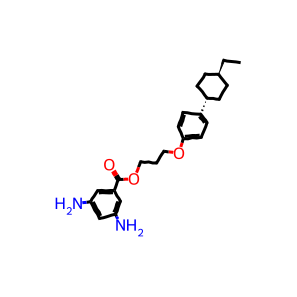 CC[C@H]1CC[C@H](c2ccc(OCCCOC(=O)c3cc(N)cc(N)c3)cc2)CC1